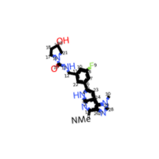 CNc1nc2[nH]c(-c3cc(F)cc(CNC(=O)N4CCC(O)C4)c3)cc2c2c1ncn2C